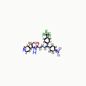 Cc1sc2cnccc2c1NC(=O)/C=C/C=C(/c1ccc(N(C)C)cc1)c1ccc(C(F)(F)F)cc1